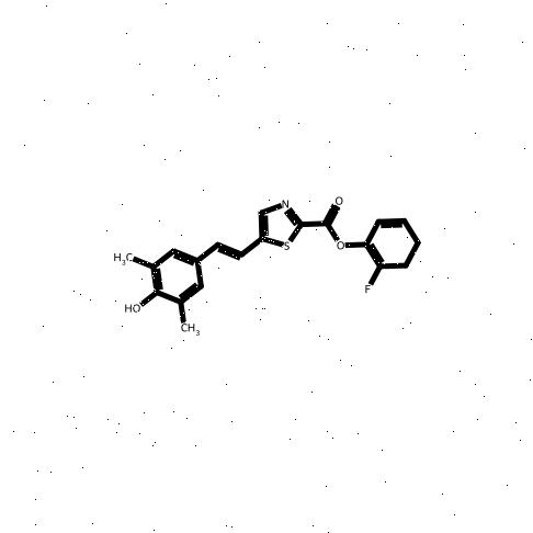 Cc1cc(/C=C/c2cnc(C(=O)OC3=C(F)CCC=C3)s2)cc(C)c1O